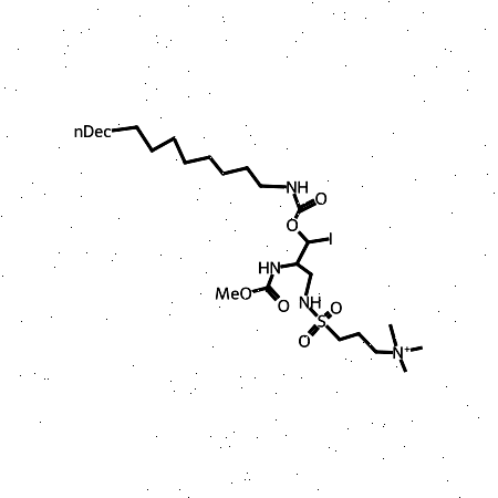 CCCCCCCCCCCCCCCCCCNC(=O)OC(I)C(CNS(=O)(=O)CCC[N+](C)(C)C)NC(=O)OC